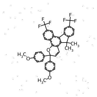 COc1ccc(C2(c3ccc(OC)cc3)C=Cc3c4c(c5cc(C(F)(F)F)ccc5c3O2)-c2cc(C(F)(F)F)ccc2C4(C)C)cc1